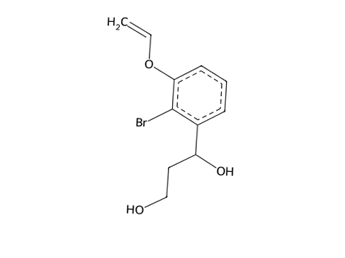 C=COc1cccc(C(O)CCO)c1Br